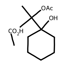 CC(=O)O.CC(=O)OC(C)(C)C1(O)CCCCC1